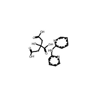 O=C(O)CC(O)(CC(=O)O)C(=O)O.c1ccc(Nc2ccccn2)nc1